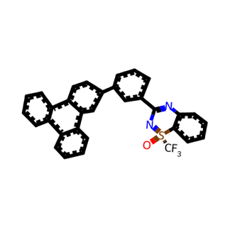 O=S1(C(F)(F)F)=NC(c2cccc(-c3ccc4c5ccccc5c5ccccc5c4c3)c2)=Nc2ccccc21